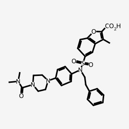 Cc1c(C(=O)O)oc2ccc(S(=O)(=O)N(CCc3ccccc3)c3ccc(N4CCN(C(=O)N(C)C)CC4)cc3)cc12